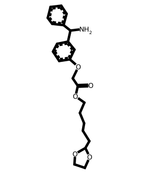 NC(c1ccccc1)c1cccc(OCC(=O)OCCCCCC2OCCO2)c1